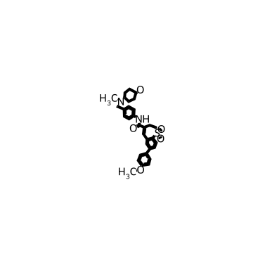 COc1ccc(-c2ccc3c(c2)C=C(C(=O)Nc2ccc(CN(C)C4CCC(=O)CC4)cc2)CCS3(=O)=O)cc1